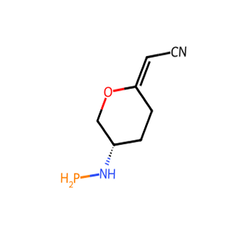 N#CC=C1CC[C@H](NP)CO1